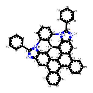 c1ccc(-c2nc3cc4c5ccccc5c5c6ccccc6c6cc7nc(-c8ccccc8)n8c7c7c6c5c4c4c3n2-c2cccc-8c2B47)cc1